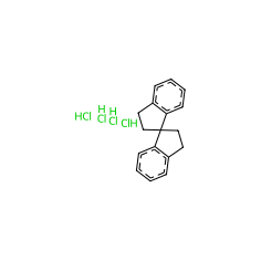 Cl.Cl.Cl.Cl.c1ccc2c(c1)CCC21CCc2ccccc21